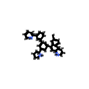 Cc1ccc2c(c1)c(-c1cc(-c3cccc(-c4ccccn4)c3)cc(-c3ccccn3)c1)cc1ncccc12